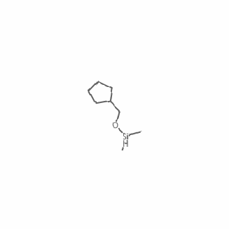 C[SiH](C)OCC1CCCC1